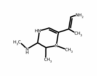 CNC1NC=C(/C(C)=C/N)N(C)C1C